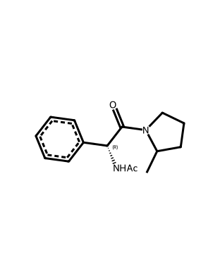 CC(=O)N[C@@H](C(=O)N1CCCC1C)c1ccccc1